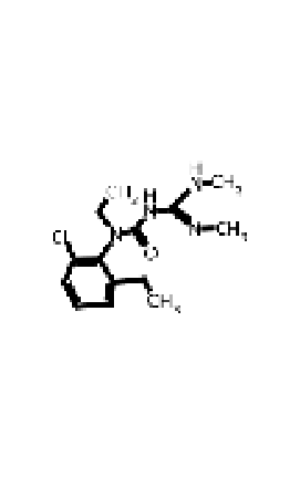 CCc1cccc(Cl)c1N(CC)C(=O)NC(=NC)NC